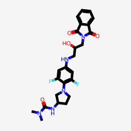 CN(C)C(=O)NC1CCN(c2c(F)cc(NCC(O)CN3C(=O)c4ccccc4C3=O)cc2F)C1